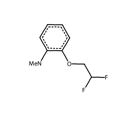 CNc1ccccc1OCC(F)F